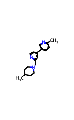 Cc1ccc(-c2ccnc(CN3CCC(C)CC3)c2)cn1